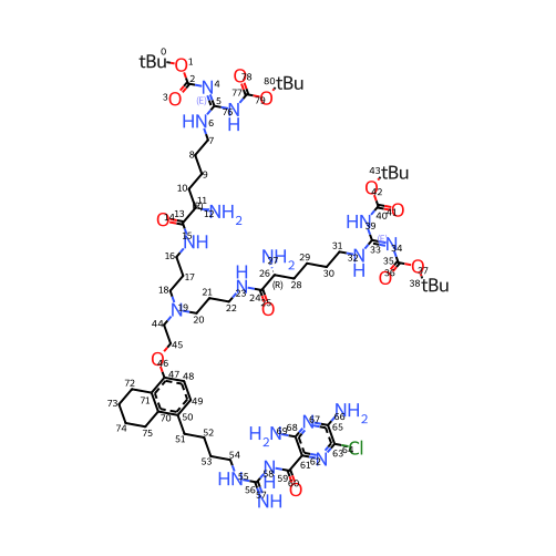 CC(C)(C)OC(=O)/N=C(\NCCCC[C@@H](N)C(=O)NCCCN(CCCNC(=O)[C@H](N)CCCCN/C(=N\C(=O)OC(C)(C)C)NC(=O)OC(C)(C)C)CCOc1ccc(CCCCNC(=N)NC(=O)c2nc(Cl)c(N)nc2N)c2c1CCCC2)NC(=O)OC(C)(C)C